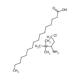 CCC(N)[N+](C)(C)C.CCCCCCCCCCCCCCCC(=O)O.[Cl-]